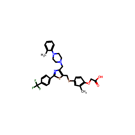 Cc1cc(SCc2sc(-c3ccc(C(F)(F)F)cc3)nc2CN2CCN(c3ccccc3C)CC2)ccc1OCC(=O)O